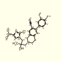 CC(O)(CN1CCc2nc(-c3ccc(F)c(F)c3)c(C#N)cc2C1)Cn1cc([N+](=O)[O-])nc1Cl